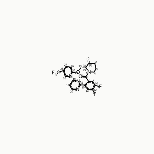 C[C@@H]1CCCN(C(=O)c2cc(F)c(F)cc2-c2ncccn2)[C@@H]1COc1ccc(C(F)(F)F)cn1